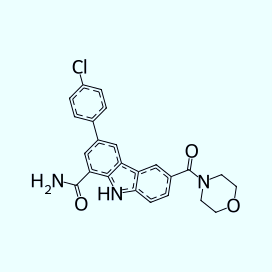 NC(=O)c1cc(-c2ccc(Cl)cc2)cc2c1[nH]c1ccc(C(=O)N3CCOCC3)cc12